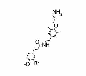 COc1ccc(/C=C/C(=O)NCCc2cc(C)c(OCCCN)c(C)c2)cc1Br